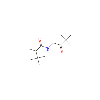 CC(C(=O)NCC(=O)C(C)(C)C)C(C)(C)C